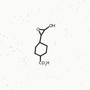 O=C(O)C1CCC(C2OC2O)CC1